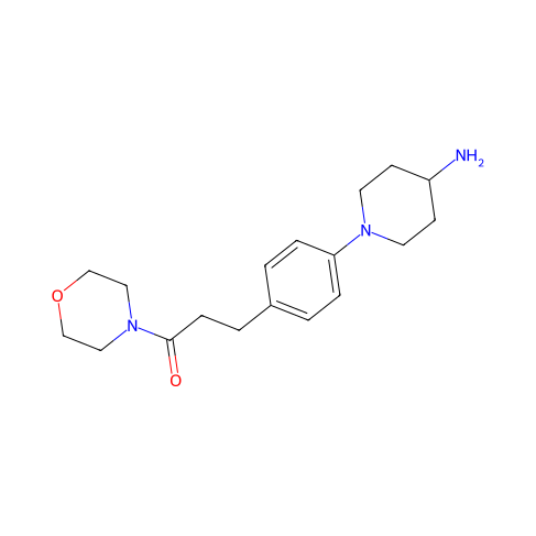 NC1CCN(c2ccc(CCC(=O)N3CCOCC3)cc2)CC1